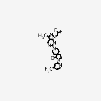 Cc1nn(CC(F)F)c2nc(N3CCC4(CC3)CCN(c3cc(C(F)(F)F)ccn3)C4=O)ncc12